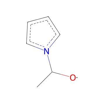 CC([O])n1cccc1